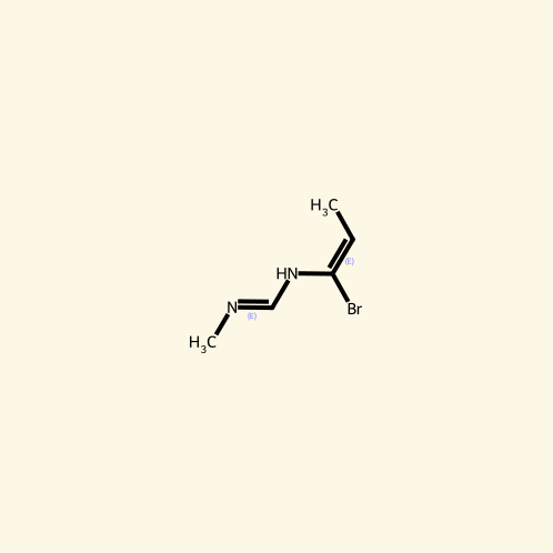 C/C=C(/Br)N/C=N/C